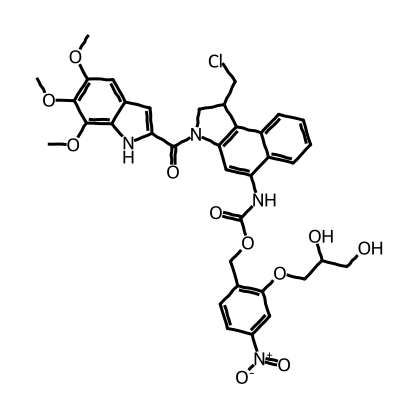 COc1cc2cc(C(=O)N3CC(CCl)c4c3cc(NC(=O)OCc3ccc([N+](=O)[O-])cc3OCC(O)CO)c3ccccc43)[nH]c2c(OC)c1OC